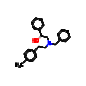 Cc1ccc(CCN(Cc2ccccc2)C[C@H](O)c2ccccc2)cc1